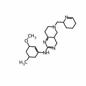 COC1C=C(NC2=NCC3CN(CC4CCCC=N4)CCC3=N2)CC(C)C1